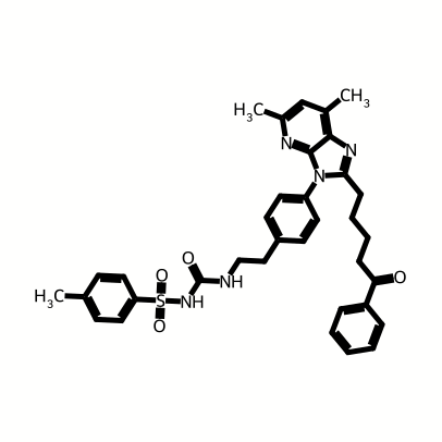 Cc1ccc(S(=O)(=O)NC(=O)NCCc2ccc(-n3c(CCCCC(=O)c4ccccc4)nc4c(C)cc(C)nc43)cc2)cc1